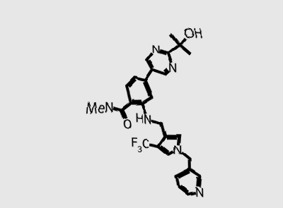 CNC(=O)c1ccc(-c2cnc(C(C)(C)O)nc2)cc1NCc1cn(Cc2cccnc2)cc1C(F)(F)F